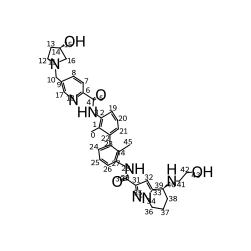 Cc1c(NC(=O)c2ccc(CN3CC[C@@H](O)C3)cn2)cccc1-c1cccc(NC(=O)c2cc3n(n2)CCC[C@@H]3NCCO)c1C